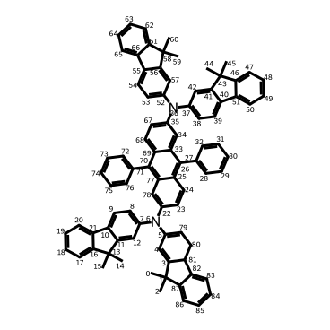 CC1(C)C2=CC(N(c3ccc4c(c3)C(C)(C)c3ccccc3-4)c3ccc4c(-c5ccccc5)c5cc(N(c6ccc7c(c6)C(C)(C)c6ccccc6-7)c6ccc7c(c6)C(C)(C)c6ccccc6-7)ccc5c(-c5ccccc5)c4c3)=CCC2c2ccccc21